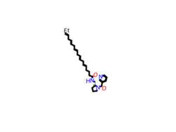 CCC=CCC=CCC=CCC=CCC=CCCCC(=O)NC[C@H]1CCCN1C(=O)c1cccnc1